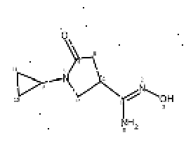 NC(=NO)C1CC(=O)N(C2CC2)C1